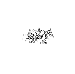 CCCCC(C(=O)O)C1(C)/C(=C/C=C/C=C/C=C/C2=[N+](CCCS(=O)(=O)O)c3cc(I)c(I)c(C)c3C2(C)CCCCS(=O)(=O)O)N(C(CCCC)S(=O)(=O)O)c2cc(I)c(S(=O)(=O)O)c(I)c21